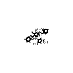 COc1ccccc1CNc1nc(C)c(-c2nc3ccccc3s2)c(N[C@@H]2C[C@H](CO)C[C@H]2O)n1